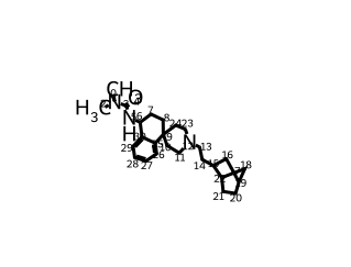 CN(C)C(=O)NC1CCC2(CCN(CCC3CC45CC4CCC35)CC2)c2ccccc21